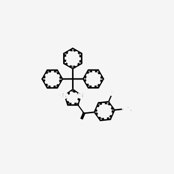 N#Cc1ccc(C(=O)c2c[nH]c(C(c3ccccc3)(c3ccccc3)c3ccccc3)n2)cc1F